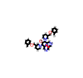 Cc1ccccc1OCC1CCCN(C(C(=O)C(c2cnccn2)N2CCCC(COc3ccccc3C)C2)c2cnccn2)C1